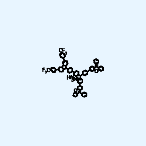 FC(F)(F)c1ccc(C2=CC3C(C=C2)C(C2CCC(C4CCC(C(C5C=CC(c6ccc7c(c6)Oc6ccccc6N7c6ccccc6)=CC5)C5CC=C(c6ccc7c(c6)Oc6ccccc6N7c6ccccc6)CC5)C5NSNC45)CC2)C2CCC(c4ccc(C(F)(F)F)cc4)CC32)cc1